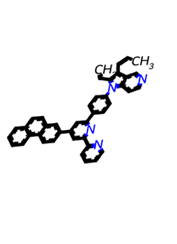 C=Cc1c(/C=C\C)c2cnccc2n1-c1ccc(-c2cc(-c3ccc4c(ccc5ccccc54)c3)cc(-c3ccccn3)n2)cc1